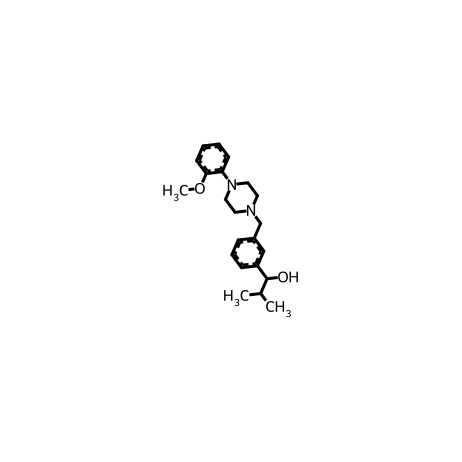 COc1ccccc1N1CCN(Cc2cccc(C(O)C(C)C)c2)CC1